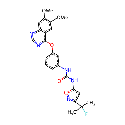 COc1cc2ncnc(Oc3cccc(NC(=O)Nc4cc(C(C)(C)F)no4)c3)c2cc1OC